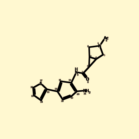 CC(=O)N1CC2C(C1)C2C(=O)Nc1cc(-c2cccs2)ccc1N